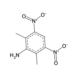 Cc1c([N+](=O)[O-])cc([N+](=O)[O-])c(C)c1N